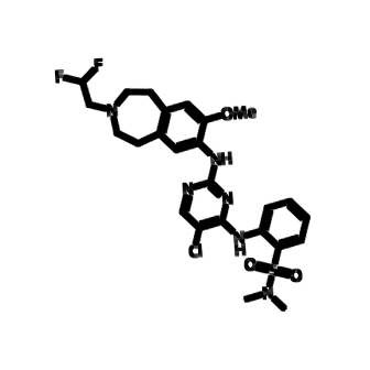 COc1cc2c(cc1Nc1ncc(Cl)c(Nc3ccccc3S(=O)(=O)N(C)C)n1)CCN(CC(F)F)CC2